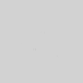 Cc1cc(C(C)(C)C)cc2c1OP(F)Oc1ccc(C(C)(C)C)cc1C2C